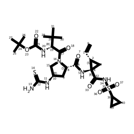 C=C[C@@H]1C[C@]1(NC(=O)[C@@H]1C[C@@H](NC(N)=S)CN1C(=O)[C@H](NC(=O)OC(C)(C)C)C(C)(C)C)C(=O)NS(=O)(=O)C1CC1